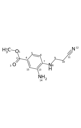 COC(=O)c1ccc(NCCC#N)c(N)c1